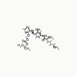 CC(C)OC(=O)OCOc1ccccc1/N=N/c1ccc(NC(=O)[C@@H](N)CCCCN)nc1N